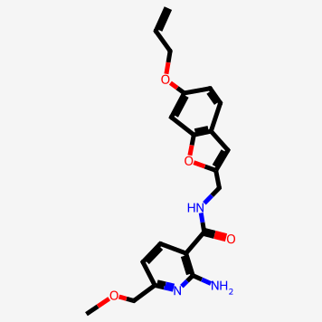 C=CCOc1ccc2cc(CNC(=O)c3ccc(COC)nc3N)oc2c1